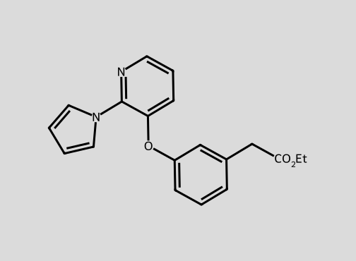 CCOC(=O)Cc1cccc(Oc2cccnc2-n2cccc2)c1